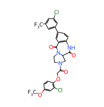 O=C1Nc2ccc(-c3cc(Cl)cc(C(F)(F)F)c3)cc2C(=O)N2CCN(C(=O)COc3ccc(OC(F)(F)F)cc3Cl)CC12